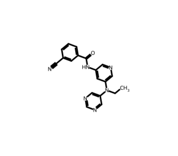 CCN(c1cncnc1)c1cncc(NC(=O)c2cccc(C#N)c2)c1